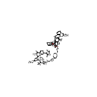 CCc1cccc2cc(O)cc(-c3ncc4c(N5CC6CCC(C5)N6C(=O)OC(C)(C)C)nc(OCCN5CCC(OCCOCC(=O)N[C@H](C(=O)N6C[C@H](O)C[C@H]6C(=O)N[C@@H](C)c6ccc(-c7scnc7C)cc6)C(C)(C)C)CC5)nc4c3F)c12